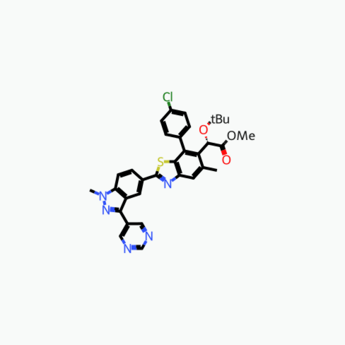 COC(=O)[C@@H](OC(C)(C)C)c1c(C)cc2nc(-c3ccc4c(c3)c(-c3cncnc3)nn4C)sc2c1-c1ccc(Cl)cc1